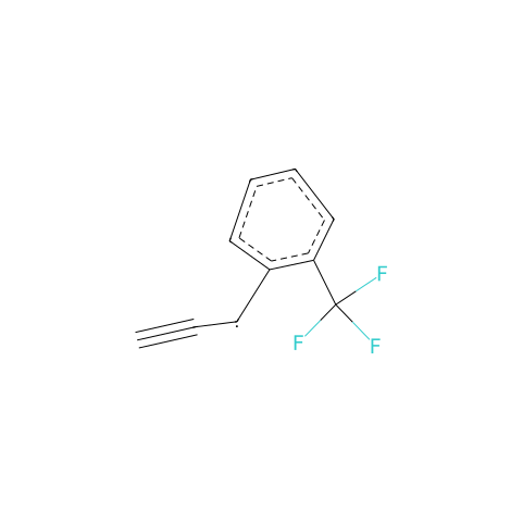 C#C[CH]c1ccccc1C(F)(F)F